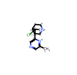 Cc1cncc(C2(Cl)CN3CCC2CC3)n1